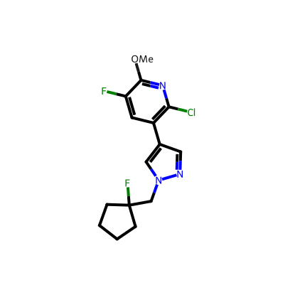 COc1nc(Cl)c(-c2cnn(CC3(F)CCCC3)c2)cc1F